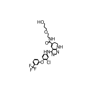 O=C(NCCOCCCO)C1=Cc2c(ncnc2Nc2ccc(Oc3cccc(C(F)(F)F)c3)c(Cl)c2)NCC1